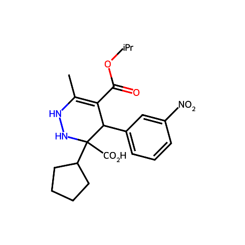 CC1=C(C(=O)OC(C)C)C(c2cccc([N+](=O)[O-])c2)C(C(=O)O)(C2CCCC2)NN1